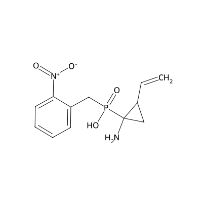 C=CC1CC1(N)P(=O)(O)Cc1ccccc1[N+](=O)[O-]